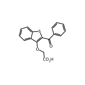 O=C(O)COc1c(C(=O)c2ccccc2)sc2ccccc12